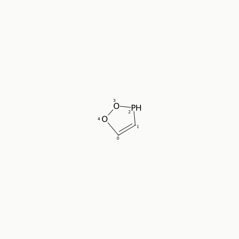 C1=CPOO1